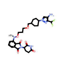 CCCN(OCCCOCC1CCC(n2cc(N)c(C(F)F)n2)CC1)c1cccc2c1C(=O)N(C1CCC(=O)NC1=O)C2=O